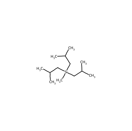 [CH2][Si](CC(C)C)(CC(C)C)CC(C)C